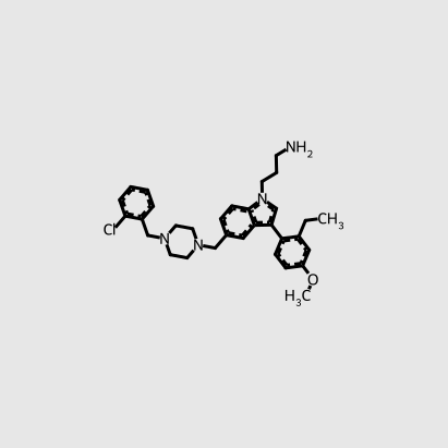 CCc1cc(OC)ccc1-c1cn(CCCN)c2ccc(CN3CCN(Cc4ccccc4Cl)CC3)cc12